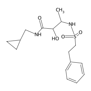 CC(NS(=O)(=O)CCc1ccccc1)C(O)C(=O)NCC1CC1